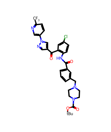 CC(C)(C)OC(=O)N1CCN(Cc2cccc(C(=O)Nc3ccc(Cl)cc3C(=O)c3cnn(-c4ccc(C(F)(F)F)nc4)c3)c2)CC1